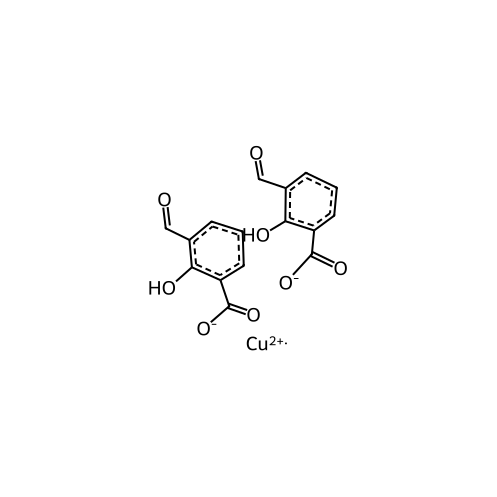 O=Cc1cccc(C(=O)[O-])c1O.O=Cc1cccc(C(=O)[O-])c1O.[Cu+2]